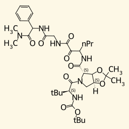 CCCC(NC(=O)[C@@H]1C2OC(C)(C)O[C@H]2CN1C(=O)[C@@H](NC(=O)OC(C)(C)C)C(C)(C)C)C(=O)C(=O)NCC(=O)NC(C(=O)N(C)C)c1ccccc1